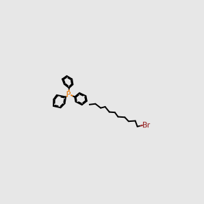 CCCCCCCCCCCBr.c1ccc(P(c2ccccc2)c2ccccc2)cc1